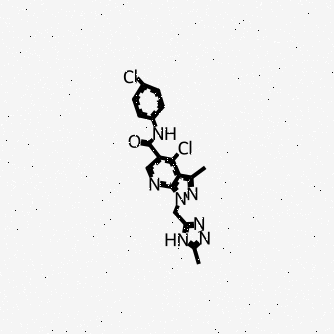 Cc1nnc(Cn2nc(C)c3c(Cl)c(C(=O)Nc4ccc(Cl)cc4)cnc32)[nH]1